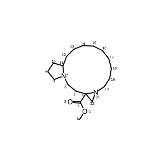 COC(=O)C12CCN3CCCC3CCCCCCCCCN1C2